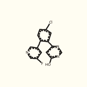 Oc1cc(-c2cc(Cl)ccc2-c2cncc(F)c2)ncn1